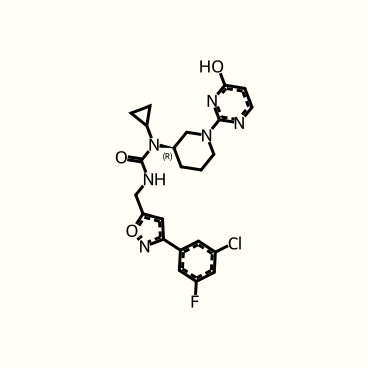 O=C(NCc1cc(-c2cc(F)cc(Cl)c2)no1)N(C1CC1)[C@@H]1CCCN(c2nccc(O)n2)C1